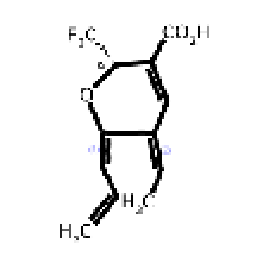 C=C/C=C1/O[C@H](C(F)(F)F)C(C(=O)O)=C/C1=C/C